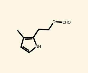 Cc1cc[nH]c1CCOC=O